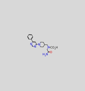 NC(=O)CN(CC1CCN(c2cc(-c3ccccc3)ncn2)CC1)C(=O)O